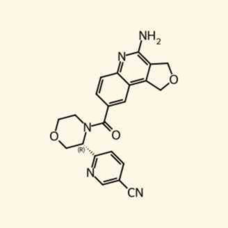 N#Cc1ccc([C@@H]2COCCN2C(=O)c2ccc3nc(N)c4c(c3c2)COC4)nc1